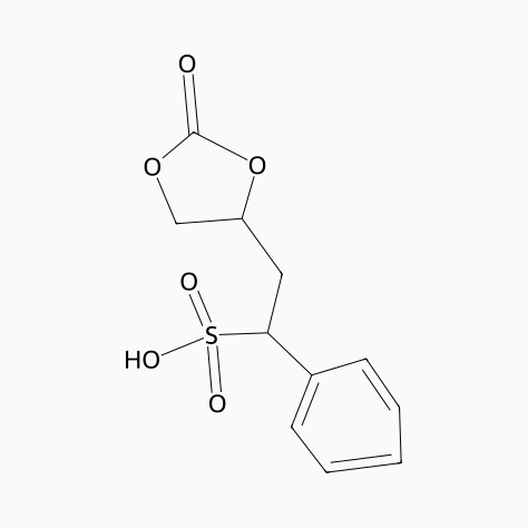 O=C1OCC(CC(c2ccccc2)S(=O)(=O)O)O1